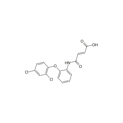 O=C(O)C=CC(=O)Nc1ccccc1Oc1ccc(Cl)cc1Cl